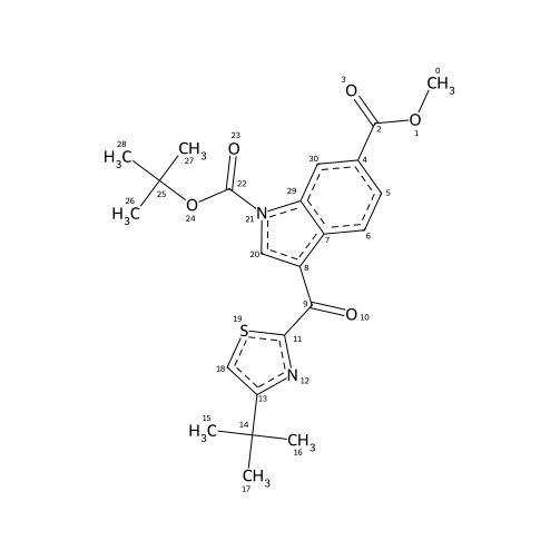 COC(=O)c1ccc2c(C(=O)c3nc(C(C)(C)C)cs3)cn(C(=O)OC(C)(C)C)c2c1